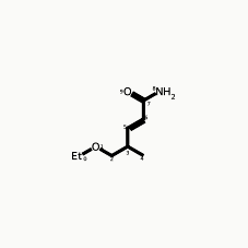 CCOCC(C)C=CC(N)=O